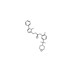 Cc1ccc(C(C)(C)C2CCOCC2)cc1CC(=O)CCC1=CC=C(c2ccccc2)C1C